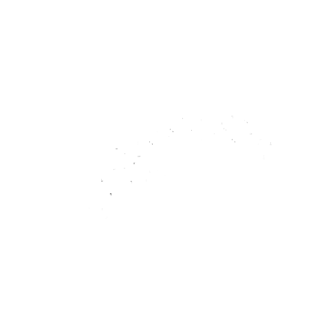 O=C(N1C[C@H]2CC(Oc3c(F)cc(F)cc3F)C[C@H]2C1)N1CC2(CC(n3cnc(C4CC4)n3)C2)C1